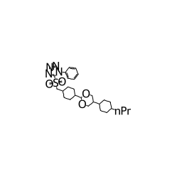 CCCC1CCC(C2COC(C3CCC(CS(=O)(=O)c4nnnn4-c4ccccc4)CC3)OC2)CC1